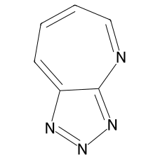 c1ccc2nnnc-2nc1